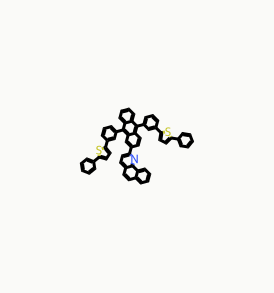 c1ccc(-c2ccc(-c3cccc(-c4c5ccccc5c(-c5cccc(-c6ccc(-c7ccccc7)s6)c5)c5cc(-c6ccc7ccc8ccccc8c7n6)ccc45)c3)s2)cc1